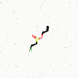 C=CCOS(=O)CCCl